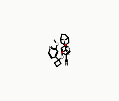 COc1cc(C2(OCC(=O)N3CC4CCC(C3)N4c3ccc(C#N)cn3)CCC2)ccn1